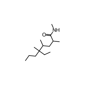 CCCC(C)(CC)C(C)CC(C)C(=O)NC